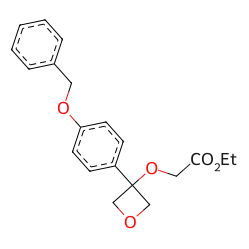 CCOC(=O)COC1(c2ccc(OCc3ccccc3)cc2)COC1